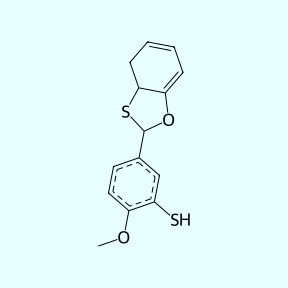 COc1ccc(C2OC3=CC=CCC3S2)cc1S